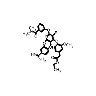 CCOC(=O)Cc1ccc(Oc2c(F)c(Oc3cccc(C(=O)N(C)C)c3)nc(Oc3cc(C(=N)N)ccc3O)c2F)c(OC)c1